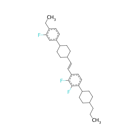 CCCC1CCC(c2ccc(/C=C/C3CCC(c4ccc(CC)c(F)c4)CC3)c(F)c2F)CC1